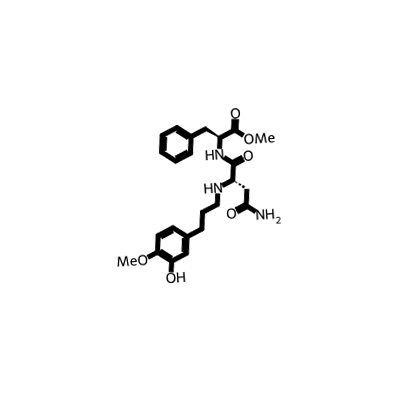 COC(=O)[C@H](Cc1ccccc1)NC(=O)[C@H](CC(N)=O)NCCCc1ccc(OC)c(O)c1